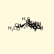 CCC(=O)O[C@]1(C(=O)SCC#CCOC(=O)C(C)C)[C@H](C)C[C@H]2[C@@H]3C[C@H](F)C4=CC(=O)C=C[C@]4(C)[C@@]3(F)[C@@H](O)C[C@@]21C